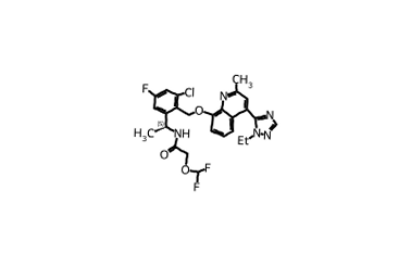 CCn1ncnc1-c1cc(C)nc2c(OCc3c(Cl)cc(F)cc3[C@H](C)NC(=O)COC(F)F)cccc12